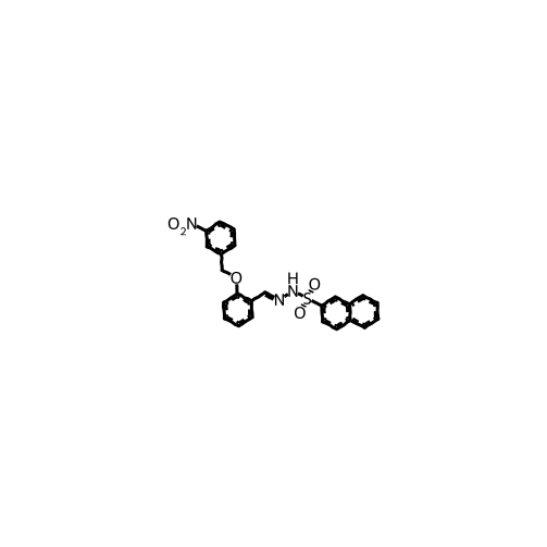 O=[N+]([O-])c1cccc(COc2ccccc2C=NNS(=O)(=O)c2ccc3ccccc3c2)c1